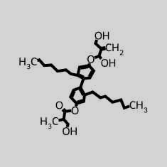 C=C(CO)C(O)Oc1ccc(-c2ccc(OC(=O)C(C)CO)cc2CCCCCCC)c(CCCCCCC)c1